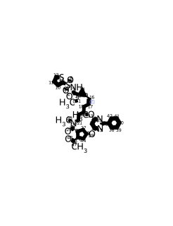 CC[C@]1(C(=O)NS(=O)(=O)c2cccs2)C[C@H]1/C=C\CCCCN(C)C(=O)[C@@H]1C[C@H](Oc2cc(OC)nc(-c3ccccc3)n2)C[C@H]1C(C)=O